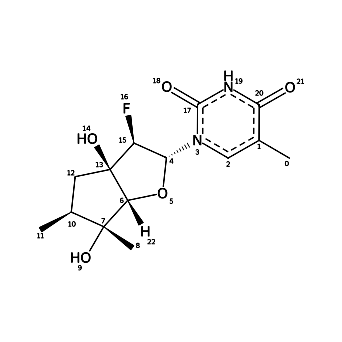 Cc1cn([C@@H]2O[C@@H]3[C@](C)(O)[C@@H](C)C[C@]3(O)[C@H]2F)c(=O)[nH]c1=O